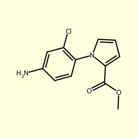 COC(=O)c1cccn1-c1ccc(N)cc1Cl